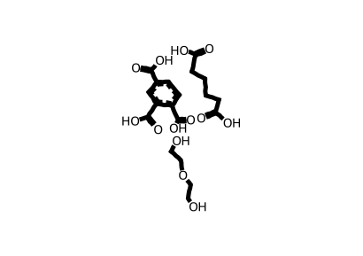 O=C(O)CCCCC(=O)O.O=C(O)c1ccc(C(=O)O)c(C(=O)O)c1.OCCOCCO